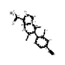 C#Cc1ccc(-c2c(C)nc3c(C(N)=O)ncn3c2C)c(F)c1